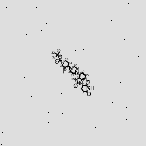 Cn1c(=O)n(C2CCC(=O)NC2=O)c2cccc(N3CCN([C@@H]4CCN(C(=O)OC(C)(C)C)C[C@@H]4F)CC3)c21